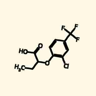 CCC(Oc1ccc(C(F)(F)F)cc1Cl)C(=O)O